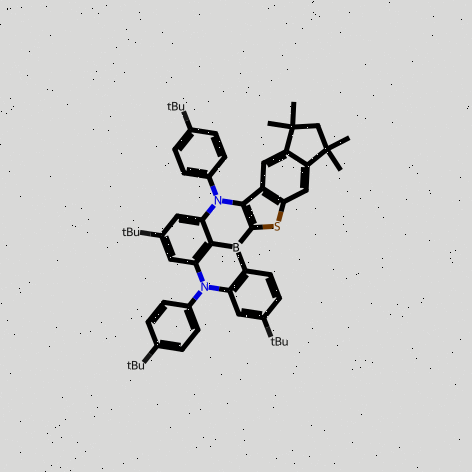 CC(C)(C)c1ccc(N2c3cc(C(C)(C)C)ccc3B3c4sc5cc6c(cc5c4N(c4ccc(C(C)(C)C)cc4)c4cc(C(C)(C)C)cc2c43)C(C)(C)CC6(C)C)cc1